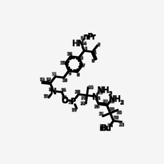 C=C(C)C(NCCC)c1ccc(CCC(=C)N(C)COP(C)CC(C)(C)N(N)/C=C(\N)C(C)(C)C(C)C(C)CC)cc1